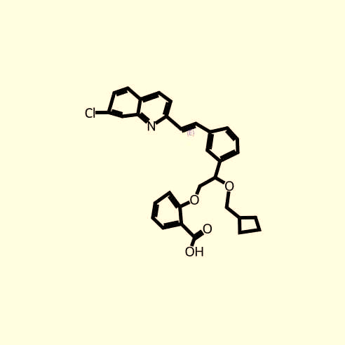 O=C(O)c1ccccc1OCC(OCC1CCC1)c1cccc(/C=C/c2ccc3ccc(Cl)cc3n2)c1